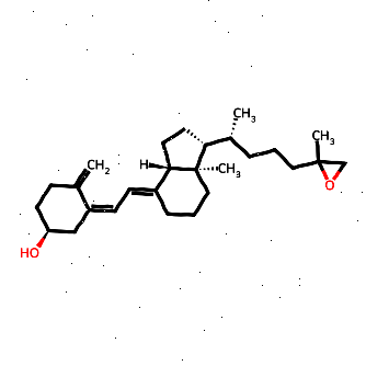 C=C1CC[C@H](O)C/C1=C/C=C1\CCC[C@]2(C)[C@@H]([C@H](C)CCCC3(C)CO3)CC[C@@H]12